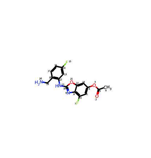 CC(=O)Oc1cc(F)c2nc(Nc3cc(F)ccc3CN)oc2c1